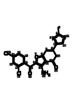 Cc1nc(C2=Cc3oc(C(=O)c4ccc(Cl)cc4Cl)c(N)c3C(=O)C2)cs1